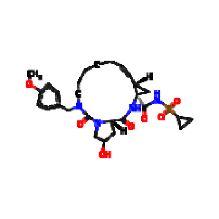 COc1ccc(CN2CCCCC/C=C\[C@@H]3C[C@@]3(C(=O)NS(=O)(=O)C3CC3)NC(=O)[C@@H]3C[C@@H](O)CN3C2=O)cc1